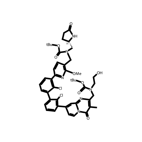 COc1nc(-c2cccc(-c3cccc(-c4ccn5c(=O)c(C)c(CN(CCO)C(=O)OC(C)(C)C)nc5c4)c3Cl)c2Cl)ccc1CN(C[C@@H]1CCC(=O)N1)C(=O)OC(C)(C)C